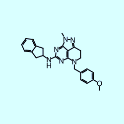 COc1ccc(CN2CCc3nn(C)c4nc(NC5Cc6ccccc6C5)nc2c34)cc1